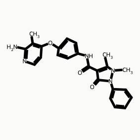 Cc1c(Oc2ccc(NC(=O)c3c(C)n(C)n(-c4ccccc4)c3=O)cc2)ccnc1N